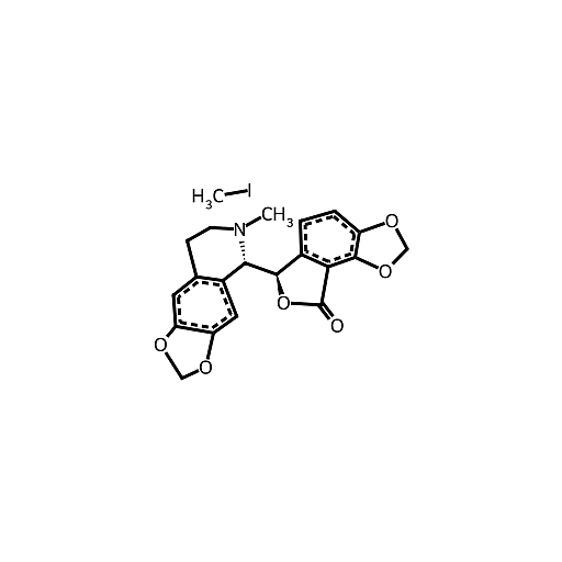 CI.CN1CCc2cc3c(cc2[C@H]1[C@@H]1OC(=O)c2c1ccc1c2OCO1)OCO3